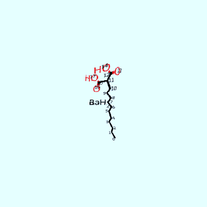 CCCCCCCCCCCC(C(=O)O)C(=O)O.[BaH2]